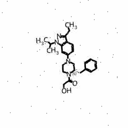 CCc1nn(C(C)C)c2cc(N3CCN(C(=O)CO)[C@@H](Cc4ccccc4)C3)ccc12